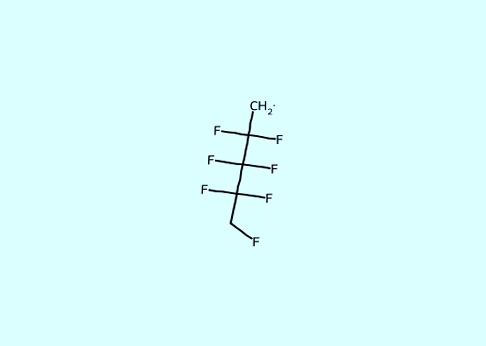 [CH2]C(F)(F)C(F)(F)C(F)(F)CF